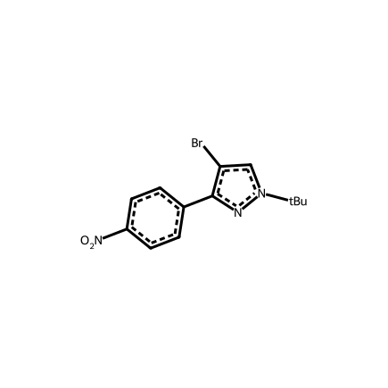 CC(C)(C)n1cc(Br)c(-c2ccc([N+](=O)[O-])cc2)n1